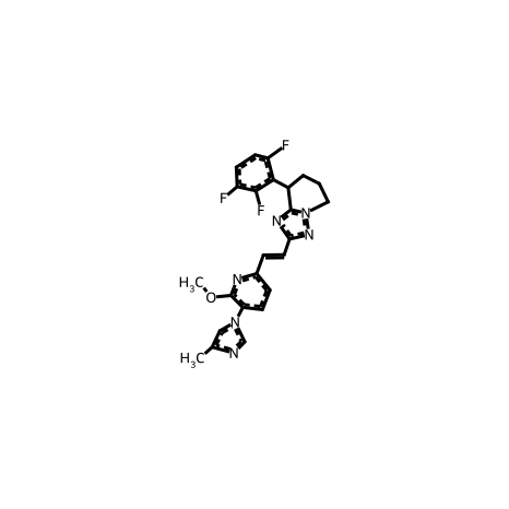 COc1nc(C=Cc2nc3n(n2)CCCC3c2c(F)ccc(F)c2F)ccc1-n1cnc(C)c1